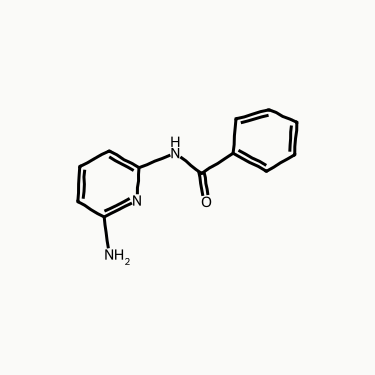 Nc1cccc(NC(=O)c2ccccc2)n1